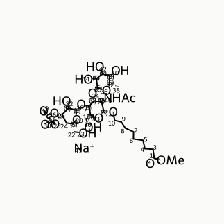 COC(=O)CCCCCCCCO[C@@H]1O[C@H](CO)[C@@H](O[C@@H]2O[C@H](CO)C[C@H](OS(=O)(=O)[O-])[C@H]2O)[C@H](O[C@@H]2O[C@@H](C)[C@@H](O)[C@@H](O)[C@@H]2O)[C@H]1NC(C)=O.[Na+]